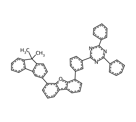 CC1(C)c2ccccc2-c2cc(-c3cccc4c3oc3c(-c5cccc(-c6nc(-c7ccccc7)nc(-c7ccccc7)n6)c5)cccc34)ccc21